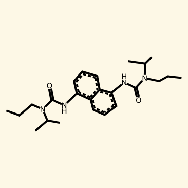 CCCN(C(=O)Nc1cccc2c(NC(=O)N(CCC)C(C)C)cccc12)C(C)C